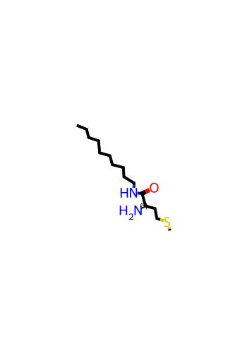 CCCCCCCCCCNC(=O)[C@@H](N)CCSC